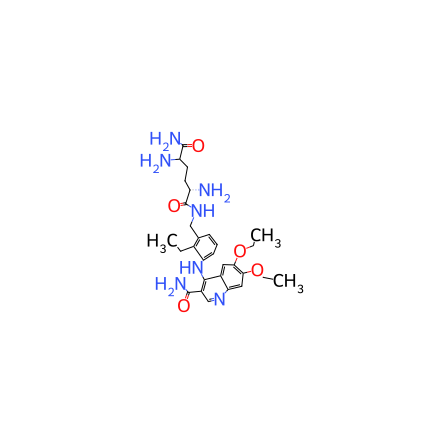 CCOc1cc2ncc(C(N)=O)c(Nc3cccc(CNC(=O)[C@@H](N)CCC(N)C(N)=O)c3CC)c2cc1OCC